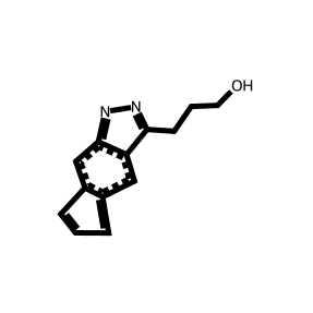 OCCCC1=NN=c2cc3c(cc21)=CC=C3